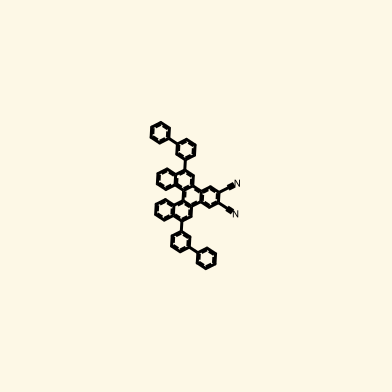 N#Cc1cc2c(cc1C#N)c1cc(-c3cccc(-c4ccccc4)c3)c3ccccc3c1c1c3ccccc3c(-c3cccc(-c4ccccc4)c3)cc21